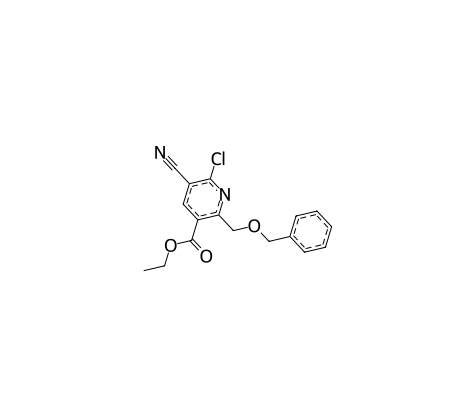 CCOC(=O)c1cc(C#N)c(Cl)nc1COCc1ccccc1